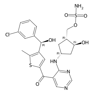 Cc1sc(C(=O)c2cncnc2N[C@@H]2C[C@H](COS(N)(=O)=O)[C@@H](O)C2)cc1[C@H](O)c1cccc(Cl)c1